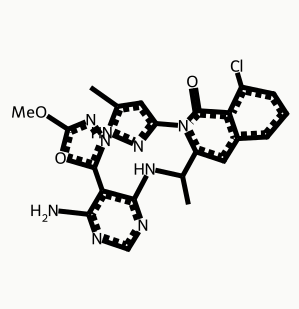 COc1nnc(-c2c(N)ncnc2NC(C)c2cc3cccc(Cl)c3c(=O)n2-c2cc(C)[nH]n2)o1